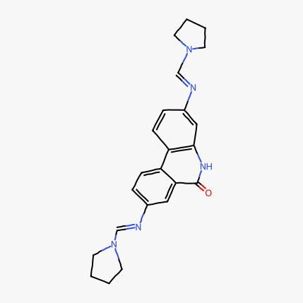 O=c1[nH]c2cc(/N=C/N3CCCC3)ccc2c2ccc(/N=C/N3CCCC3)cc12